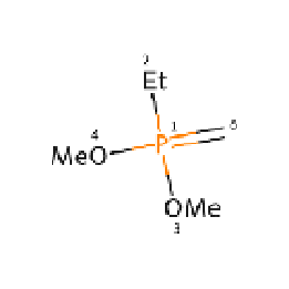 C=P(CC)(OC)OC